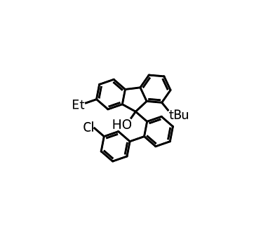 CCc1ccc2c(c1)C(O)(c1ccccc1-c1cccc(Cl)c1)c1c-2cccc1C(C)(C)C